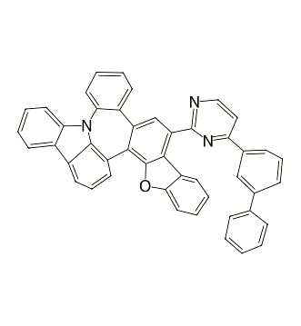 c1ccc(-c2cccc(-c3ccnc(-c4cc5c(c6oc7ccccc7c46)-c4cccc6c7ccccc7n(c46)-c4ccccc4-5)n3)c2)cc1